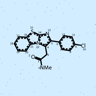 CNC(=O)Cc1c(-c2ccc(Cl)cc2)nc2sc3ccccc3n12